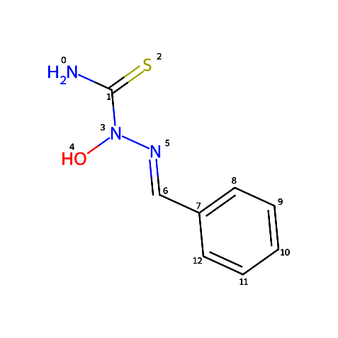 NC(=S)N(O)N=Cc1ccccc1